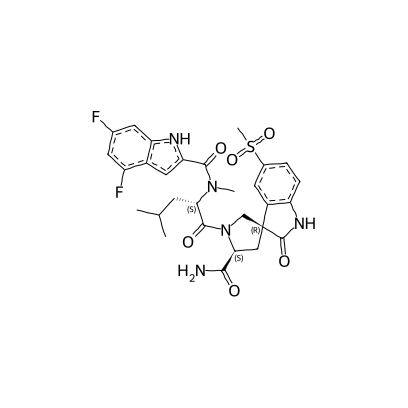 CC(C)C[C@@H](C(=O)N1C[C@]2(C[C@H]1C(N)=O)C(=O)Nc1ccc(S(C)(=O)=O)cc12)N(C)C(=O)c1cc2c(F)cc(F)cc2[nH]1